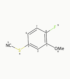 COc1cc(SC#N)ccc1F